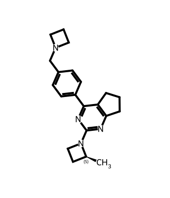 C[C@H]1CCN1c1nc2c(c(-c3ccc(CN4CCC4)cc3)n1)CCC2